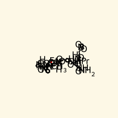 CCOCc1nc2c(NC(=O)[C@@H]3CCCN3C(=O)O)nc3ccccc3c2n1CC(C)(C)OCCNC(=O)OCc1ccc(NC(=O)C(CCCNC(N)=O)NC(=O)C(NC(=O)CCCCCN2C(=O)C=CC2=O)C(C)C)cc1